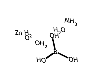 O.O.O.OB(O)O.[AlH3].[Zn]